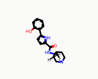 O=C(N[C@H]1CN2CCC1CC2)c1ccc(-c2ccccc2O)[nH]1